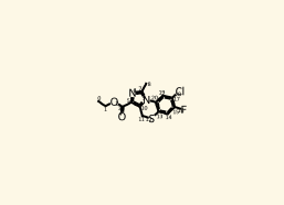 CCOC(=O)c1nc(C)n2c1CSc1cc(F)c(Cl)cc1-2